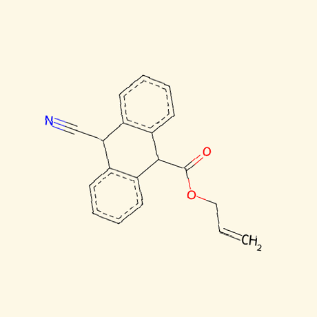 C=CCOC(=O)C1c2ccccc2C(C#N)c2ccccc21